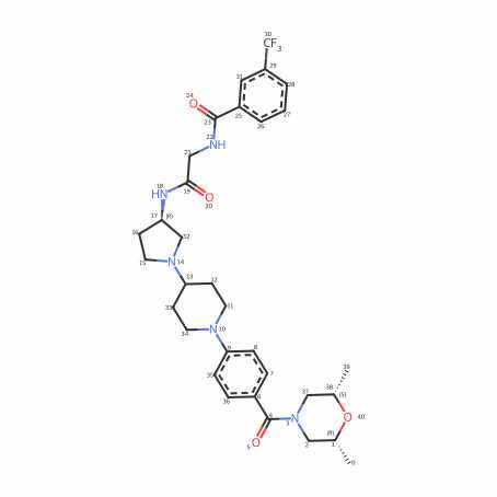 C[C@@H]1CN(C(=O)c2ccc(N3CCC(N4CC[C@@H](NC(=O)CNC(=O)c5cccc(C(F)(F)F)c5)C4)CC3)cc2)C[C@H](C)O1